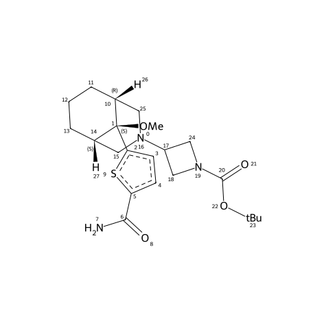 CO[C@]1(c2ccc(C(N)=O)s2)[C@@H]2CCC[C@H]1CN(C1CN(C(=O)OC(C)(C)C)C1)C2